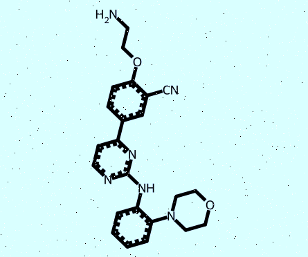 N#Cc1cc(-c2ccnc(Nc3ccccc3N3CCOCC3)n2)ccc1OCCN